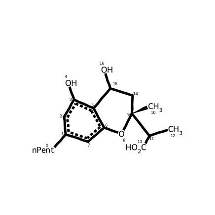 CCCCCc1cc(O)c2c(c1)O[C@@](C)(C(C)C(=O)O)CC2O